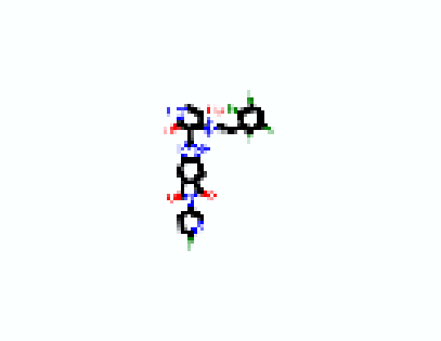 O=C1c2cc3nc(-c4c(N[C@@H](O)Cc5c(F)c(F)cc(F)c5F)cc[nH]c4=O)[nH]c3cc2C(=O)N1c1ccc(F)nc1